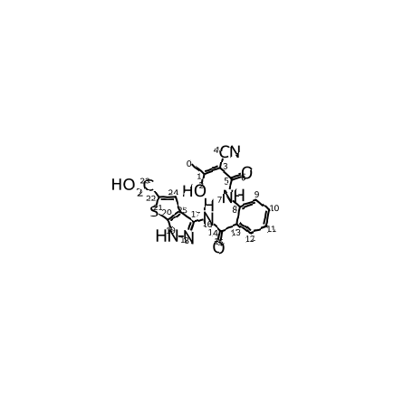 CC(O)=C(C#N)C(=O)Nc1ccccc1C(=O)Nc1n[nH]c2sc(C(=O)O)cc12